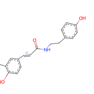 Cc1cc(/C=C/C(=O)NCCc2ccc(O)cc2)ccc1O